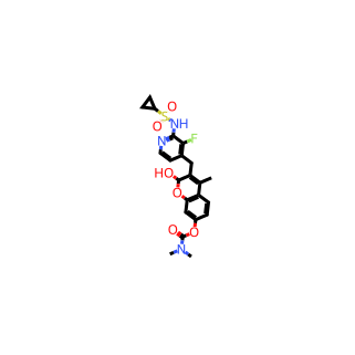 CC1=C(Cc2ccnc(NS(=O)(=O)C3CC3)c2F)C(O)Oc2cc(OC(=O)N(C)C)ccc21